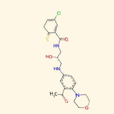 CC(=O)c1cc(NCC(O)CNC(=O)C2=CC(Cl)=CCC2=S)ccc1N1CCOCC1